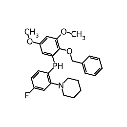 COc1cc(OC)c(OCc2ccccc2)c(Pc2ccc(F)cc2N2CCCCC2)c1